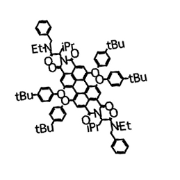 CCN(Cc1ccccc1)C(=O)C(C(C)C)N1C(=O)c2cc(Oc3ccc(C(C)(C)C)cc3)c3c4c(Oc5ccc(C(C)(C)C)cc5)cc5c6c(cc(Oc7ccc(C(C)(C)C)cc7)c(c7c(Oc8ccc(C(C)(C)C)cc8)cc(c2c37)C1=O)c64)C(=O)N(C(C(=O)N(CC)Cc1ccccc1)C(C)C)C5=O